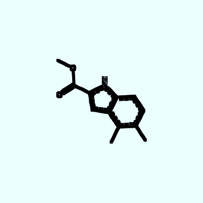 COC(=O)c1cc2c(C)c(C)ccc2[nH]1